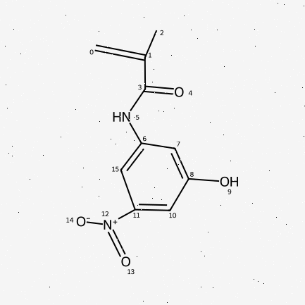 C=C(C)C(=O)Nc1cc(O)cc([N+](=O)[O-])c1